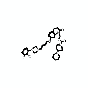 O=C(OCN1C(=O)CCc2ccc(OCCCCN3CCN(c4cccc(Cl)c4Cl)CC3)cc21)N1CCC(N2CCCCC2)CC1